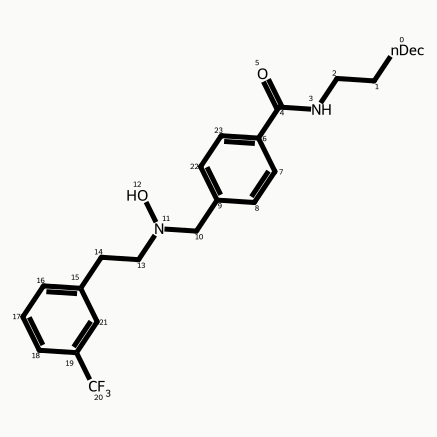 CCCCCCCCCCCCNC(=O)c1ccc(CN(O)CCc2cccc(C(F)(F)F)c2)cc1